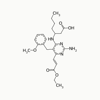 CCCCC(CC(=O)O)Nc1nc(N)nc(C=CC(=O)OCC)c1Cc1ccccc1OC